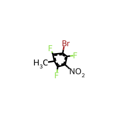 Cc1c(F)c(Br)c(F)c([N+](=O)[O-])c1F